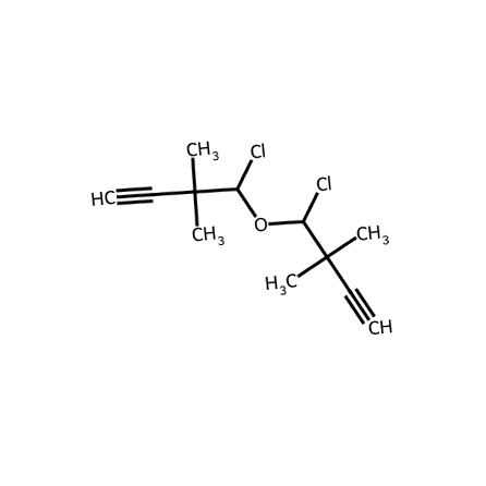 C#CC(C)(C)C(Cl)OC(Cl)C(C)(C)C#C